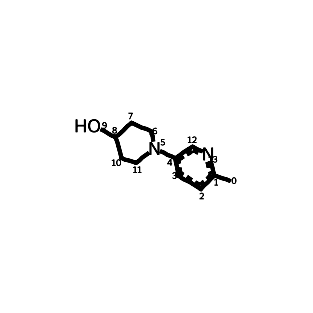 Cc1ccc(N2CCC(O)CC2)cn1